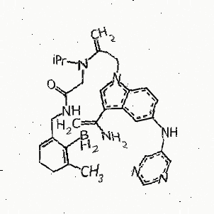 BC1=C(C)CCC=C1CNC(=O)CN(C(=C)Cn1cc(C(=C)N)c2cc(Nc3cncnc3)ccc21)C(C)C